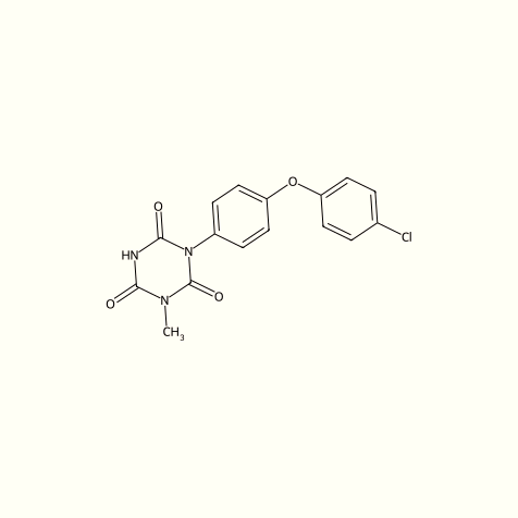 Cn1c(=O)[nH]c(=O)n(-c2ccc(Oc3ccc(Cl)cc3)cc2)c1=O